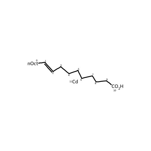 CCCCCCCCC=CCCCCCCCC(=O)O.[Cd]